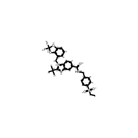 CCS(=O)(=O)c1ccc(CNC(=O)c2ccc3c(c2)nc(C(C)(C)C)n3Cc2cccc3c2OC(F)(F)O3)cc1